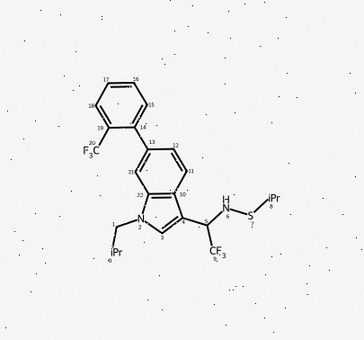 CC(C)Cn1cc(C(NSC(C)C)C(F)(F)F)c2ccc(-c3ccccc3C(F)(F)F)cc21